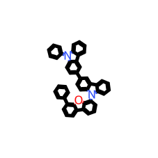 c1ccc(-c2cccc3c2oc2c(-n4c5ccccc5c5cc(-c6ccc7c(c6)c6ccccc6n7-c6ccccc6)ccc54)cccc23)cc1